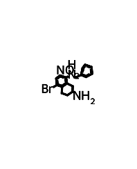 NC1CCc2c(Br)cc([N+](=O)[O-])c(NCc3ccccc3)c2C1